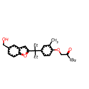 CCC(CC)(c1ccc(OCC(=O)C(C)(C)C)c(C)c1)c1cc2cc(CO)ccc2o1